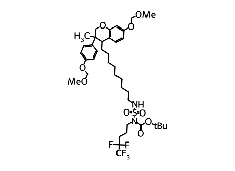 COCOc1ccc(C2(C)COc3cc(OCOC)ccc3C2CCCCCCCCCNS(=O)(=O)N(CCCC(F)(F)C(F)(F)F)C(=O)OC(C)(C)C)cc1